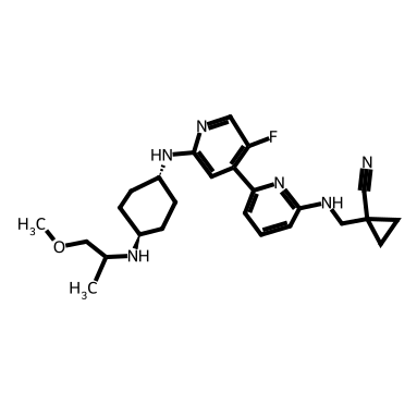 COCC(C)N[C@H]1CC[C@H](Nc2cc(-c3cccc(NCC4(C#N)CC4)n3)c(F)cn2)CC1